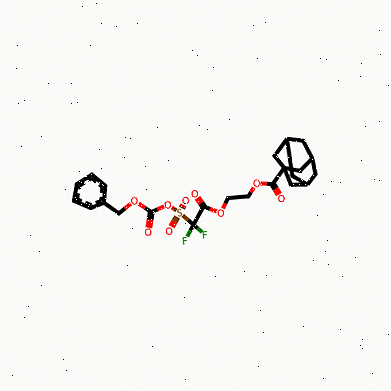 O=C(OCc1ccccc1)OS(=O)(=O)C(F)(F)C(=O)OCCOC(=O)C12CC3CC(CC(C3)C1)C2